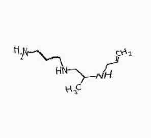 C=CCNC(C)CNCCCN